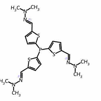 CN(C)/N=C/c1ccc(P(c2ccc(/C=N/N(C)C)s2)c2ccc(/C=N/N(C)C)s2)s1